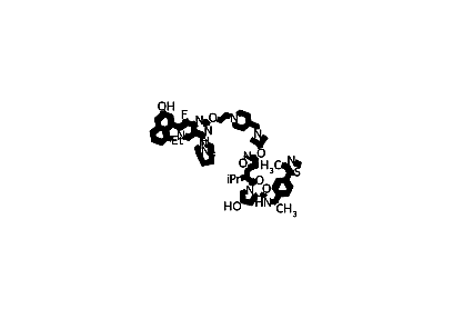 CCc1cccc2cc(O)cc(-c3ncc4c(N5CC6CCC(C5)N6)nc(OCCN5CCC(CN6CC(Oc7cc(C(C(=O)N8C[C@H](O)C[C@H]8C(=O)NC(C)c8ccc(-c9scnc9C)cc8)C(C)C)on7)C6)CC5)nc4c3F)c12